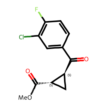 COC(=O)[C@H]1C[C@@H]1C(=O)c1ccc(F)c(Cl)c1